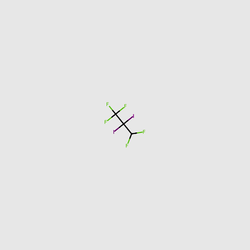 FC(F)C(I)(I)C(F)(F)F